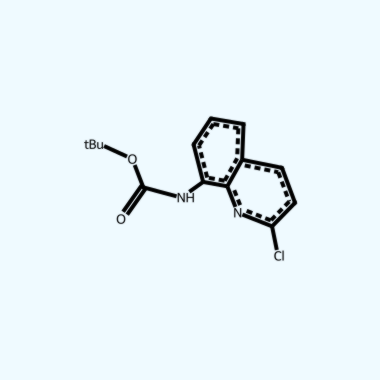 CC(C)(C)OC(=O)Nc1cccc2ccc(Cl)nc12